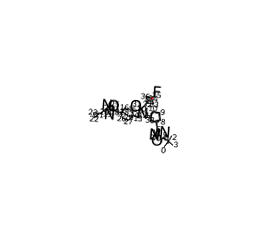 CC(C)(C)c1nc(-c2cccc(N(CC34CCC(c5nc(C6CC6)no5)(CC3)CC4)C(=O)C34CC(F)(C3)C4)c2)no1